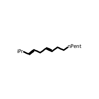 [CH2]CCCCCC/C=C/C/C=C/C(C)C